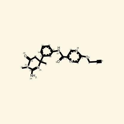 C#CCOc1cnc(C(=O)Nc2cccc(C3(C)CC(=O)N(C)C(N)=N3)c2)cn1